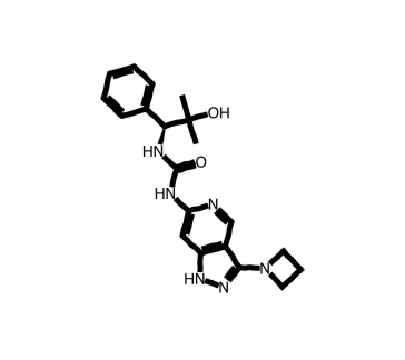 CC(C)(O)[C@@H](NC(=O)Nc1cc2[nH]nc(N3CCC3)c2cn1)c1ccccc1